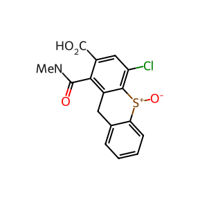 CNC(=O)c1c(C(=O)O)cc(Cl)c2c1Cc1ccccc1[S+]2[O-]